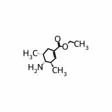 CCOC(=O)C1=C[C@@H](C)[C@H](N)[C@H](C)C1